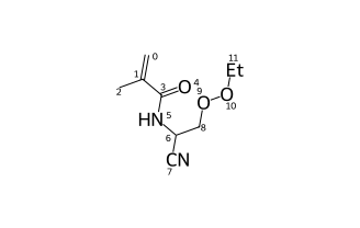 C=C(C)C(=O)NC(C#N)COOCC